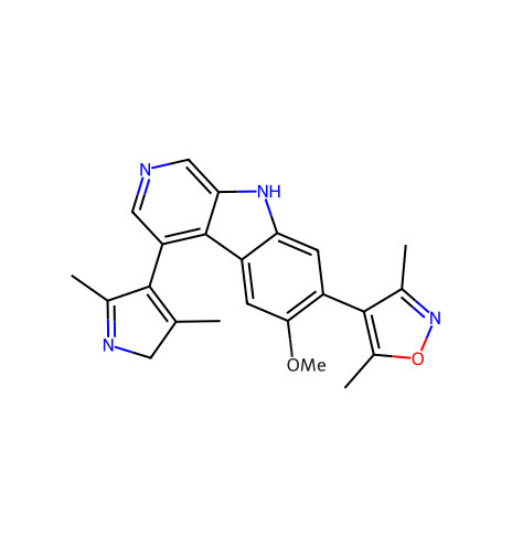 COc1cc2c(cc1-c1c(C)noc1C)[nH]c1cncc(C3=C(C)CN=C3C)c12